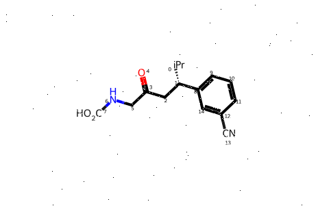 CC(C)[C@@H](CC(=O)CNC(=O)O)c1cccc(C#N)c1